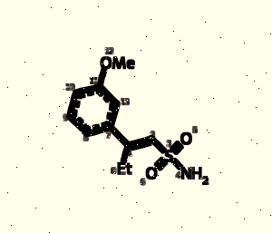 CCC(=CS(N)(=O)=O)c1cccc(OC)c1